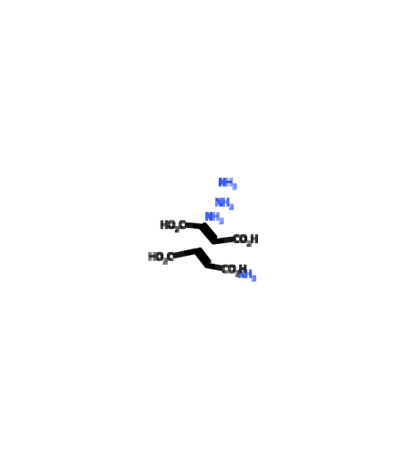 N.N.N.N.O=C(O)C=CC(=O)O.O=C(O)C=CC(=O)O